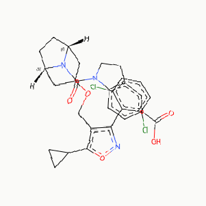 O=C(O)c1ccc2c(c1)CCN2C(=O)N1[C@@H]2CC[C@H]1CC(OCc1c(-c3c(Cl)cccc3Cl)noc1C1CC1)C2